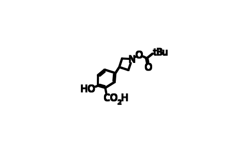 CC(C)(C)C(=O)ON1CC(c2ccc(O)c(C(=O)O)c2)C1